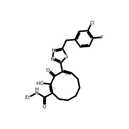 CCNC(=O)/C1=C(\O)C(=O)/C(c2nnc(Cc3ccc(F)c(Cl)c3)s2)=C\CCCCC1